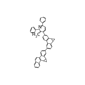 C=C1C(c2ccc3c(c2)C2CC2c2ccc(-c4ccc5c(c4)C4CC4c4c-5ccc5ccccc45)cc2-3)=C=CC(c2ccccc2)=NC1c1ccccc1